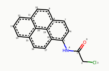 O=C(CCl)Nc1ccc2ccc3cccc4ccc1c2c34